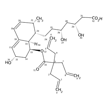 C=CCC(CC=C)(CC=C)C(=O)O[C@H]1C[C@H](O)C=C2C=C[C@H](C)[C@H](CC[C@@H](O)C[C@@H](O)CC(=O)O)[C@H]21